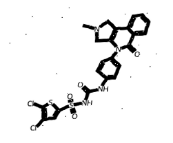 CN1Cc2c(n(-c3ccc(NC(=O)NS(=O)(=O)c4cc(Cl)c(Cl)s4)cc3)c(=O)c3ccccc23)C1